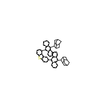 c1cc(-c2c3ccccc3c(C3C4CC5CC(C4)CC3C5)c3ccccc23)c2c(c1)sc1ccc(-c3c4ccccc4c(C4C5CC6CC(C5)CC4C6)c4ccccc34)cc12